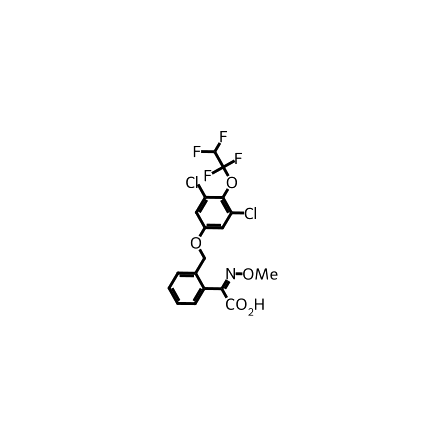 CON=C(C(=O)O)c1ccccc1COc1cc(Cl)c(OC(F)(F)C(F)F)c(Cl)c1